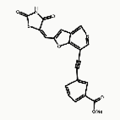 COC(=O)c1cccc(C#Cc2cncc3cc(C=C4SC(=O)NC4=O)oc23)c1